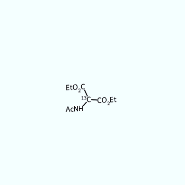 CCOC(=O)[13CH](NC(C)=O)C(=O)OCC